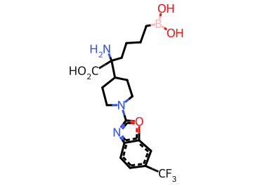 NC(CCCCB(O)O)(C(=O)O)C1CCN(c2nc3ccc(C(F)(F)F)cc3o2)CC1